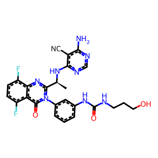 C[C@H](Nc1ncnc(N)c1C#N)c1nc2c(F)ccc(F)c2c(=O)n1-c1cccc(NC(=O)NCCCO)c1